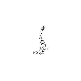 O=C(O)CC1C(=O)NC2=Nc3ccc(OCCCCn4ccnc4)cc3CN21